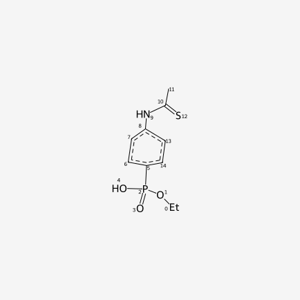 CCOP(=O)(O)c1ccc(NC(C)=S)cc1